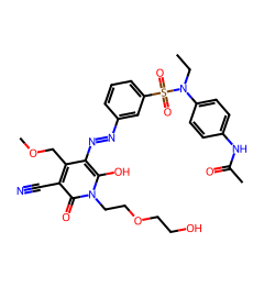 CCN(c1ccc(NC(C)=O)cc1)S(=O)(=O)c1cccc(/N=N/c2c(COC)c(C#N)c(=O)n(CCOCCO)c2O)c1